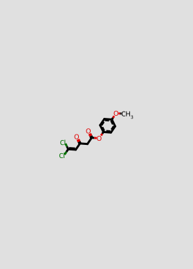 COc1ccc(OC(=O)CC(=O)C=C(Cl)Cl)cc1